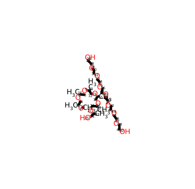 COC(C)COC(C)COC(C)COC(C)COC(C)COC(C)CO.OCCOCCOCCOCCOCCOCCOCCOCCO